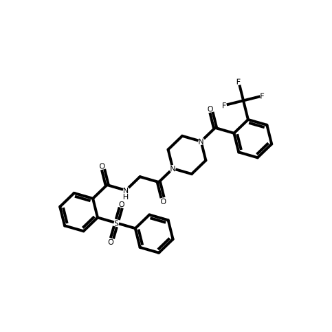 O=C(NCC(=O)N1CCN(C(=O)c2ccccc2C(F)(F)F)CC1)c1ccccc1S(=O)(=O)c1ccccc1